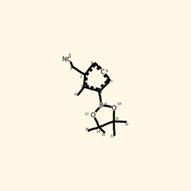 Cc1c(CC#N)cccc1B1OC(C)(C)C(C)(C)O1